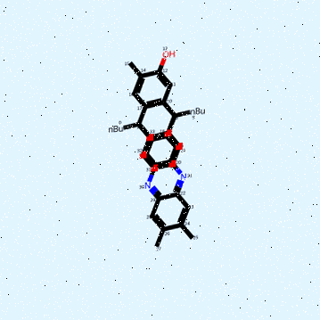 CCCCC12c3ccccc3C(CCCC)(c3cc(O)c(C)cc31)c1cc3nc4cc(C)c(C)cc4nc3cc12